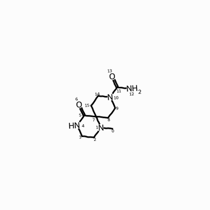 CN1CCNC(=O)C12CCN(C(N)=O)CC2